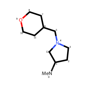 CNC1CCN(CC2CCOCC2)C1